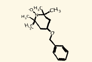 CC1(C)CC(OCc2ccccc2)CC(C)(C)N1[O]